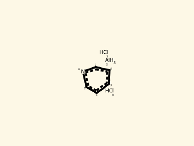 Cl.Cl.[AlH3].c1ccncc1